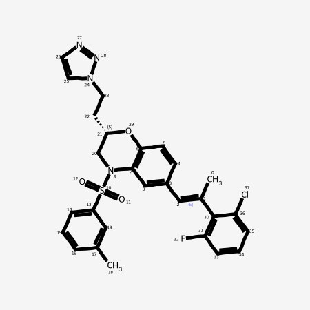 C/C(=C\c1ccc2c(c1)N(S(=O)(=O)c1cccc(C)c1)C[C@H](CCn1ccnn1)O2)c1c(F)cccc1Cl